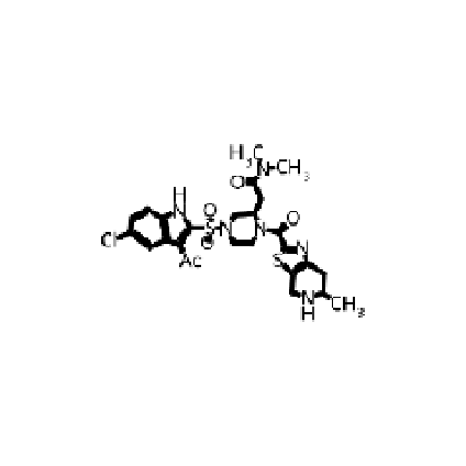 CC(=O)c1c(S(=O)(=O)N2CCN(C(=O)c3nc4c(s3)CNC(C)C4)C(CC(=O)N(C)C)C2)[nH]c2ccc(Cl)cc12